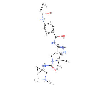 C=CC(=O)Nc1ccc(C(O)Nc2n[nH]c3c2CN(C(=O)NC2(CN(C)C)CC2)C3(C)C)cc1